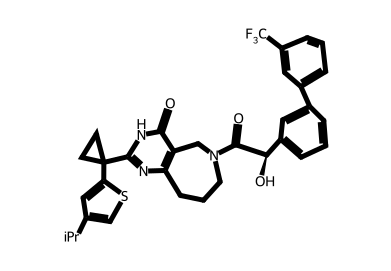 CC(C)c1csc(C2(c3nc4c(c(=O)[nH]3)CN(C(=O)[C@H](O)c3cccc(-c5cccc(C(F)(F)F)c5)c3)CCC4)CC2)c1